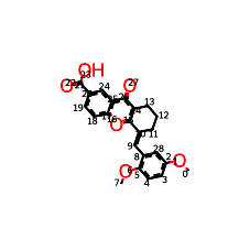 COc1ccc(OC)c(C=C2CCCc3c2oc2ccc(C(=O)O)cc2c3=O)c1